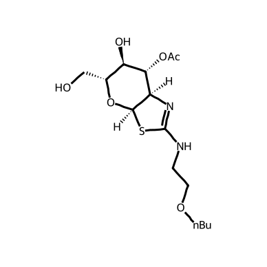 CCCCOCCNC1=N[C@@H]2[C@@H](OC(C)=O)[C@H](O)[C@@H](CO)O[C@@H]2S1